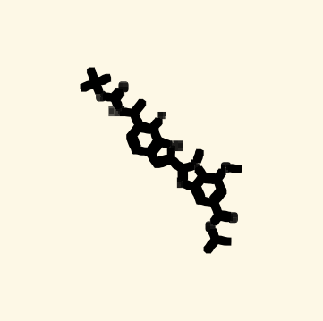 COc1cc(C(=O)OC(C)C)cc2nc(-c3cc4ccc(C(C)NC(=O)OC(C)(C)C)c(F)c4[nH]3)n(C)c12